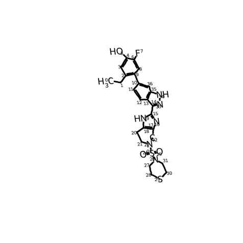 CCc1cc(O)c(F)cc1-c1ccc2c(-c3nc4c([nH]3)CCN(S(=O)(=O)N3CCSCC3)C4)n[nH]c2c1